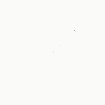 CN/C=C(\C=N)c1ccc(-c2cncc(C)c2)cc1C(=O)NCc1ccc(OC)c(C(F)(F)F)c1